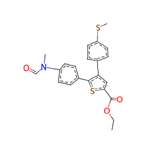 CCOC(=O)c1cc(-c2ccc(SC)cc2)c(-c2ccc(N(C)C=O)cc2)s1